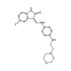 O=C1Nc2ccc(F)cc2C1=CNc1ccc(NCCN2CCOCC2)cc1